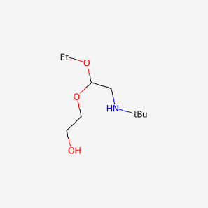 CCOC(CNC(C)(C)C)OCCO